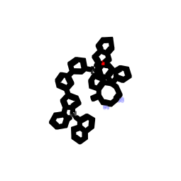 C=C1/C=C\C=C/CC(c2ccccc2)(c2ccccc2)c2cc(N(c3cccc(-c4cccc(-c5ccc6c(c5)c5ccccc5n6-c5cccc6ccccc56)c4)c3)c3ccc4ccccc4c3)ccc21